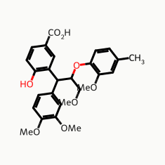 COCC(Oc1ccc(C)cc1OC)C(c1ccc(OC)c(OC)c1)c1cc(C(=O)O)ccc1O